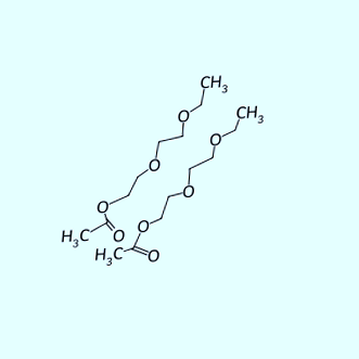 CCOCCOCCOC(C)=O.CCOCCOCCOC(C)=O